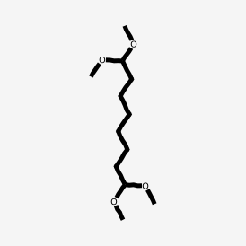 COC(CCCCCCC(OC)OC)OC